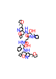 C[C@@]1(Cc2cnc3c(c2)[C@@H](NC[C@H](O)[C@H](Cc2ccccc2)NC(=O)CCC(=O)N[C@@H](Cc2ccccc2)[C@@H](O)CN[C@H]2CC4(CCC4)Oc4ncc(C[C@@]5(C)CCCO5)cc42)CC2(CCC2)O3)CCCO1